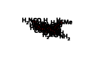 CC[C@H](C)[C@H](NC(=O)[C@@H](NC(=O)[C@H](CCCCN)NC(=O)CNC(=O)[C@H](C)NC(=O)[C@@H](NC(=O)[C@H](C)NC(=O)[C@@H](N)CCSC)[C@@H](C)O)C(C)C)C(=O)N[C@@H](CCCCN)C(=O)N[C@@H](CS)C(=O)N[C@@H](CCCCN)C(=O)N[C@@H](C)C(=O)N[C@@H](C)C(=O)N[C@H](C(=O)N[C@@H](C)C(=O)N[C@@H](Cc1c[nH]c2ccccc12)C(=O)N[C@@H](CCC(=O)O)C(=O)N[C@@H](C)C(=O)NCC(=O)N[C@@H](CCCCN)C(=O)O)C(C)C